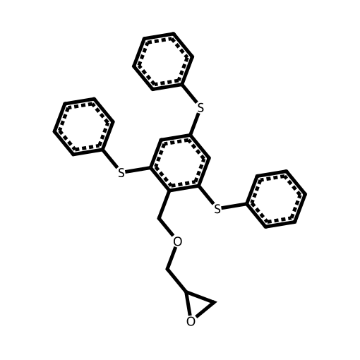 c1ccc(Sc2cc(Sc3ccccc3)c(COCC3CO3)c(Sc3ccccc3)c2)cc1